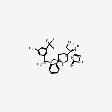 CC/C(=N\O)[C@]1(n2cn[nH]c2=O)CC[C@@](CO[C@H](C)c2cc(C)cc(C(F)(F)F)c2)(c2ccccc2)NC1